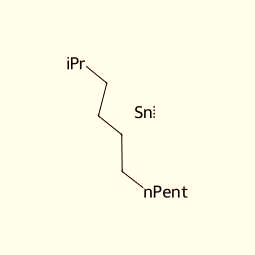 CCCCCCCCCC(C)C.[Sn]